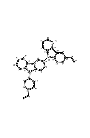 C=Cc1ccc(-n2c3ccc(-n4c5ccc(C=C)cc5c5ncccc54)cc3c3ncccc32)cc1